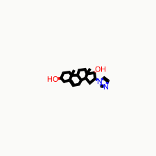 CC12CCC(O)CC1=CCC1C2CCC2(C)C(O)C(n3ccnc3)CC12